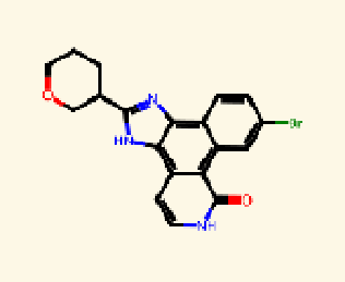 O=c1[nH]ccc2c3[nH]c(C4CCCOC4)nc3c3ccc(Br)cc3c12